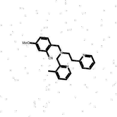 COc1ccc(CN(CCc2ccccn2)Cc2ncccc2C)c(C#N)c1